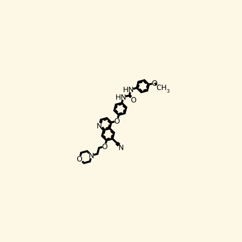 COc1ccc(NC(=O)Nc2ccc(Oc3ccnc4cc(OCCN5CCOCC5)c(C#N)cc34)cc2)cc1